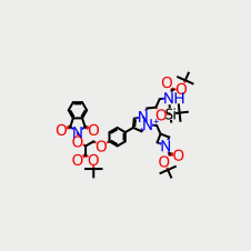 CC(C)(C)OC(=O)NCC(Cn1cc(-c2ccc(OCC(ON3C(=O)c4ccccc4C3=O)C(=O)OC(C)(C)C)cc2)c[n+]1CC1CN(C(=O)OC(C)(C)C)C1)O[Si](C)(C)C(C)(C)C